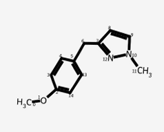 COc1ccc(Cc2ccn(C)n2)cc1